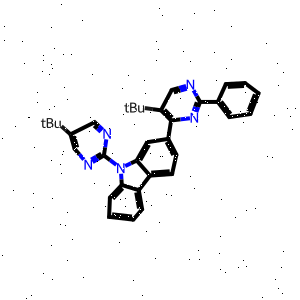 CC(C)(C)c1cnc(-n2c3ccccc3c3ccc(-c4nc(-c5ccccc5)ncc4C(C)(C)C)cc32)nc1